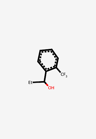 CCC(O)c1ccccc1C(F)(F)F